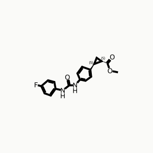 COC(=O)[C@H]1C[C@@H]1c1ccc(NC(=O)Nc2ccc(F)cc2)cc1